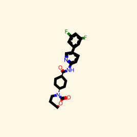 O=C1OCCCN1[C@H]1CC[C@H](C(=O)Nc2ccc(-c3cc(F)cc(F)c3)cn2)CC1